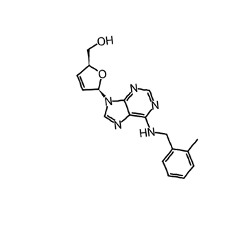 Cc1ccccc1CNc1ncnc2c1ncn2[C@H]1C=C[C@@H](CO)O1